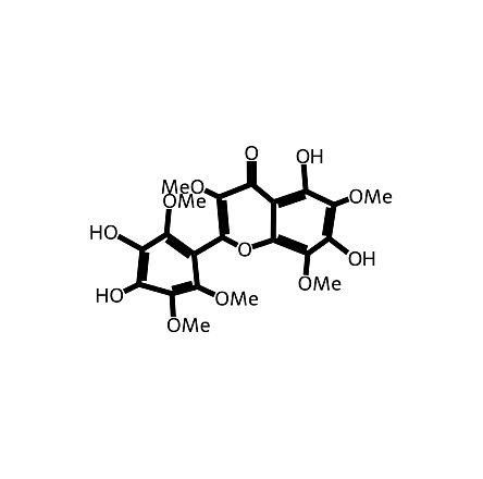 COc1c(O)c(O)c(OC)c(-c2oc3c(OC)c(O)c(OC)c(O)c3c(=O)c2OC)c1OC